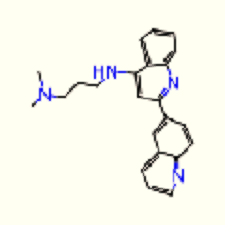 CN(C)CCCNc1cc(-c2ccc3ncccc3c2)nc2ccccc12